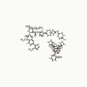 Cc1ncsc1-c1ccc([C@H](C)NC(=O)[C@@H]2C[C@@H](O)CN2C(=O)[C@@H](c2cc(N3CCC4(CC3)CN(CC3CCN(C[C@H]5C[C@H](Oc6cc(N7C8CCC7CN(c7cc(-c9ccccc9O)nnc7N)C8)ccn6)C5)CC3)C4)no2)C(C)C)cc1